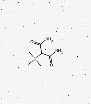 C[Si](C)(C)C(C(N)=O)C(N)=O